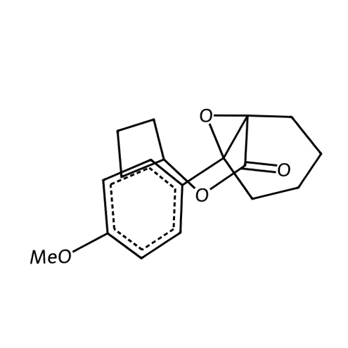 COc1ccc(C23CCCCC2(C(=O)OC2CCC2)O3)cc1